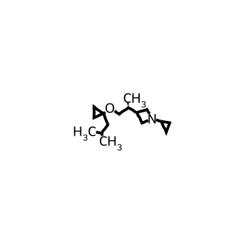 CC(C)CC1(OC[C@H](C)C2CN(C3CC3)C2)CC1